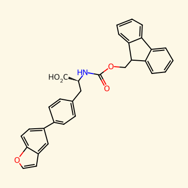 O=C(N[C@@H](Cc1ccc(-c2ccc3occc3c2)cc1)C(=O)O)OCC1c2ccccc2-c2ccccc21